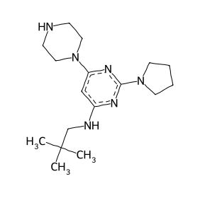 CC(C)(C)CNc1cc(N2CCNCC2)nc(N2CCCC2)n1